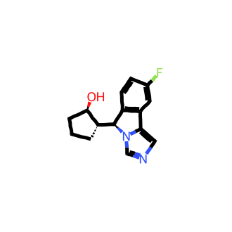 O[C@@H]1CCC[C@H]1[C@H]1c2ccc(F)cc2-c2cncn21